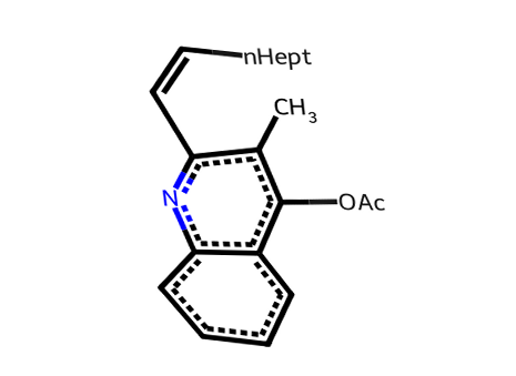 CCCCCCC/C=C\c1nc2ccccc2c(OC(C)=O)c1C